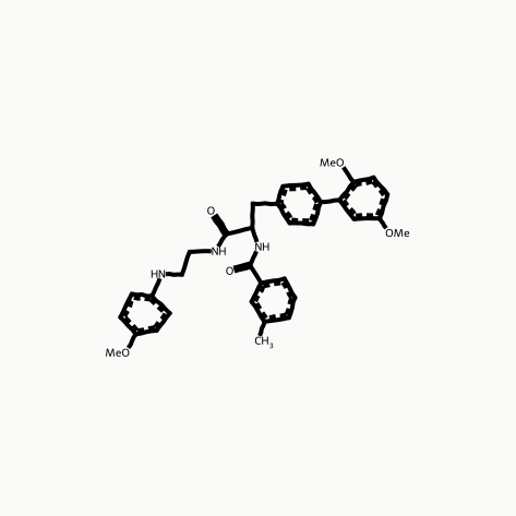 COc1ccc(NCCNC(=O)C(Cc2ccc(-c3cc(OC)ccc3OC)cc2)NC(=O)c2cccc(C)c2)cc1